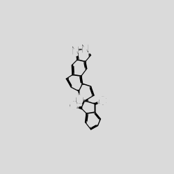 O=C1c2ccccc2C(=O)C12C=CC1=c3cc4c(cc3C=CC1O2)=NN=C4